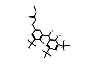 COC(=O)CCc1cc(C(O)c2cc(C(C)(C)C)cc(C(C)(C)C)c2O)c(O)c(C(C)(C)C)c1